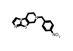 O=[N+]([O-])c1ccc(CN2CCc3c(sc4nccn34)C2)cc1